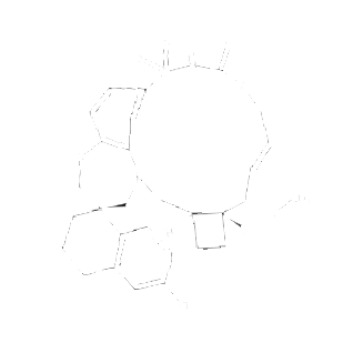 CO[C@H]1/C=C/COC(=O)NS(=O)(=O)c2ccc3c(c2)N(C[C@@H]2CC[C@H]21)C[C@@]1(CCCc2cc(Cl)ccc21)CO3